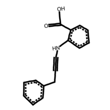 O=C(O)c1ccccc1NC#CCc1ccccc1